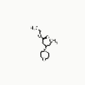 CCOC(=O)CC(CC)N1CCOCC1